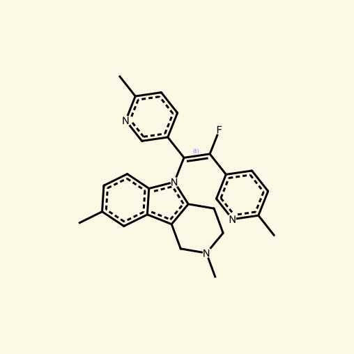 Cc1ccc2c(c1)c1c(n2/C(=C(/F)c2ccc(C)nc2)c2ccc(C)nc2)CCN(C)C1